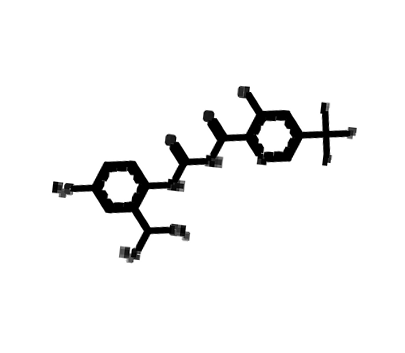 Cc1ccc(NC(=O)NC(=O)c2ncc(C(F)(F)F)cc2Cl)c(C(C)C)c1